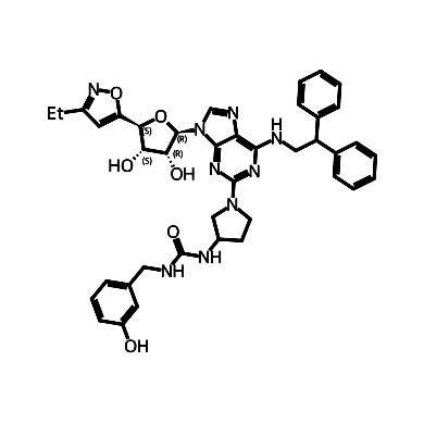 CCc1cc([C@H]2O[C@@H](n3cnc4c(NCC(c5ccccc5)c5ccccc5)nc(N5CCC(NC(=O)NCc6cccc(O)c6)C5)nc43)[C@H](O)[C@@H]2O)on1